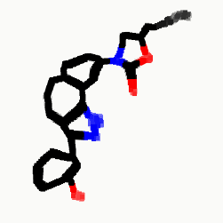 CC(=O)NCC1CN(c2ccc3c(c2)-c2[nH]nc(-c4cccc(O)c4)c2CCC3)C(=O)O1